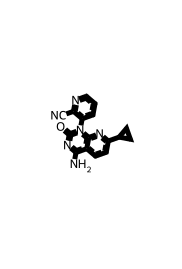 N#Cc1ncccc1-n1c(=O)nc(N)c2ccc(C3CC3)nc21